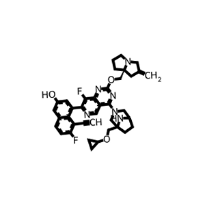 C#Cc1c(F)ccc2cc(O)cc(-c3ncc4c(N5CC6CCC(COC7CC7)(C5)N6)nc(OC[C@@]56CCCN5CC(=C)C6)nc4c3F)c12